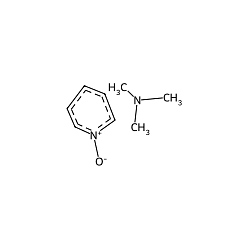 CN(C)C.[O-][n+]1ccccc1